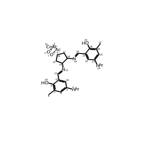 CC(=O)[O-].CC(=O)[O-].CCCc1cc(C)c(O)c(C=NC2CCCC2N=Cc2cc(CCC)cc(C)c2O)c1.[Co+2]